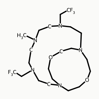 CN1CCN(CC(F)(F)F)CCN2CCOCCN(CCOCC2)CCN(CC(F)(F)F)CC1